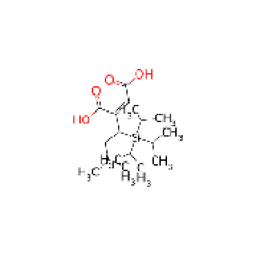 CC(C)CC(/C(=C/C(=O)O)C(=O)O)[Si](C(C)C)(C(C)C)C(C)C